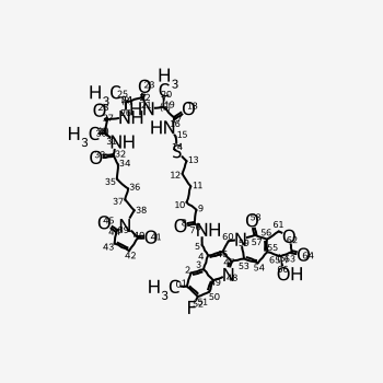 Cc1cc2c(CNC(=O)CCCCCSCNC(=O)[C@H](C)NC(=O)[C@@H](C)NC(=O)[C@H](C)NC(=O)CCCCCN3C(=O)C=CC3=O)c3c(nc2cc1F)-c1cc2c(c(=O)n1C3)COC(=O)[C@H]2O